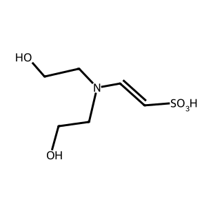 O=S(=O)(O)C=CN(CCO)CCO